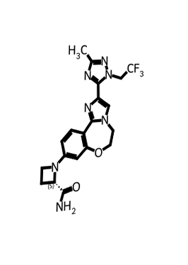 Cc1nc(-c2cn3c(n2)-c2ccc(N4CC[C@H]4C(N)=O)cc2OCC3)n(CC(F)(F)F)n1